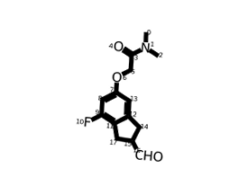 CN(C)C(=O)COc1cc(F)c2c(c1)CC(C=O)C2